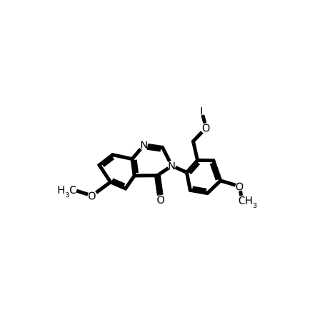 COc1ccc(-n2cnc3ccc(OC)cc3c2=O)c(COI)c1